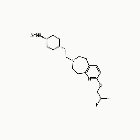 CC(=O)N[C@H]1CC[C@H](CCN2CCc3ccc(OCC(F)F)nc3CC2)CC1